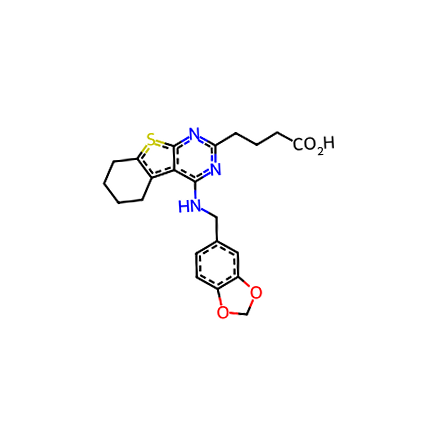 O=C(O)CCCc1nc(NCc2ccc3c(c2)OCO3)c2c3c(sc2n1)CCCC3